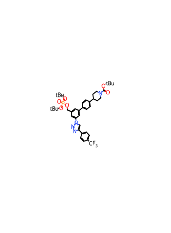 CC(C)(C)OC(=O)N1CCC(c2ccc(-c3cc(COP(=O)(OC(C)(C)C)OC(C)(C)C)cc(-n4cc(-c5ccc(C(F)(F)F)cc5)nn4)c3)cc2)CC1